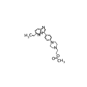 C=Cc1ccc2ncc(-c3ccc(N4CCN(CCOC(C)=O)CC4)cc3)n2n1